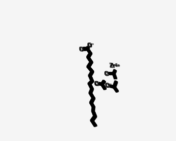 CC(C)[O-].CC(C)[O-].CC(C)[O-].CCCCCCCCCCCCCCCCCC(=O)[O-].[Zr+4]